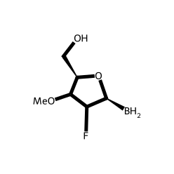 B[C@@H]1O[C@H](CO)C(OC)C1F